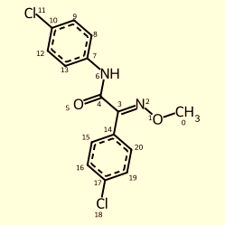 CON=C(C(=O)Nc1ccc(Cl)cc1)c1ccc(Cl)cc1